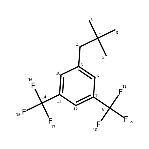 CC(C)(C)Cc1cc(C(F)(F)F)cc(C(F)(F)F)c1